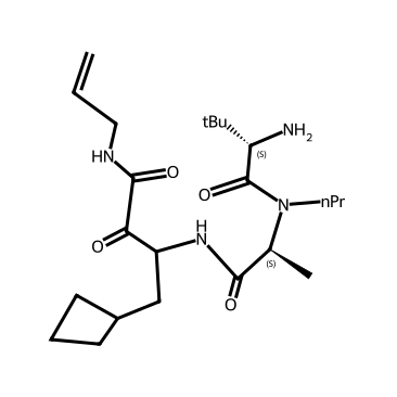 C=CCNC(=O)C(=O)C(CC1CCC1)NC(=O)[C@H](C)N(CCC)C(=O)[C@@H](N)C(C)(C)C